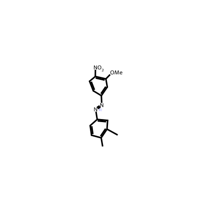 COc1cc(/N=N/c2ccc(C)c(C)c2)ccc1[N+](=O)[O-]